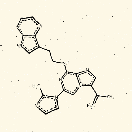 C=C(C)c1cnc2c(NCCc3c[nH]c4cccnc34)nc(-n3ccnc3C)cn12